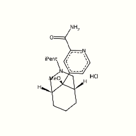 CCCC(C)N1C[C@H]2CCC[C@@H](C1)[C@@]2(OC)c1ccnc(C(N)=O)c1.Cl